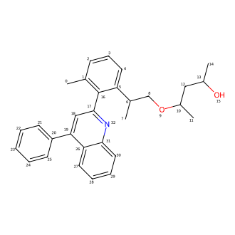 Cc1cccc(C(C)COC(C)CC(C)O)c1-c1cc(-c2ccccc2)c2ccccc2n1